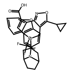 O=C(O)c1cc2cc(N3C4CCC3CC(OCc3c(-c5ccccc5OC(F)(F)F)noc3C3CC3)C4)ccc2o1